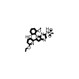 CCOC1=NC(c2cc3ncc(NS(C)(=O)=O)nc3n2-c2c(O)cccc2OC)=C=C=C1